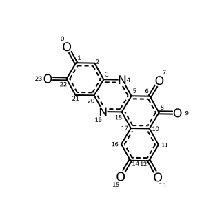 O=c1cc2nc3c(=O)c(=O)c4cc(=O)c(=O)cc4c3nc2cc1=O